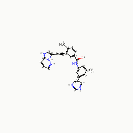 Cc1ccc(C(=O)Nc2cc(-c3cncnc3)cc(C(F)(F)F)c2)cc1C#Cc1cnc2cccnn12